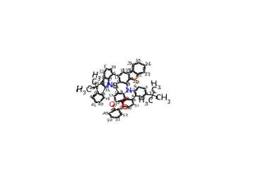 CC(C)(C)c1ccc(N2c3cc4c(cc3B3c5c(cc6c(sc7ccccc76)c52)-c2cccc5c6c(n3c25)-c2ccccc2C6(C)C)Oc2ccccc2O4)c(-c2ccccc2)c1